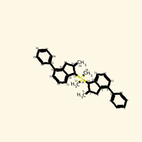 CC1Cc2c(-c3ccccc3)cccc2C1S(C)(C)C1c2cccc(-c3ccccc3)c2CC1C